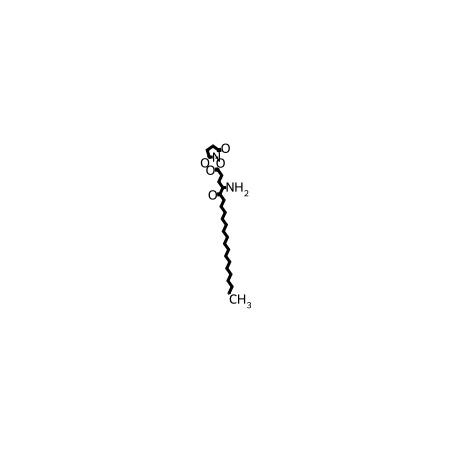 CCCCCCCCCCCCCCCCCC(=O)C(N)CCC(=O)ON1C(=O)CCC1=O